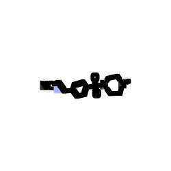 CN1CCN(S(=O)(=O)c2ccc(/C=C/C#N)cc2)CC1